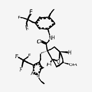 Cc1cc(NC(=O)[C@@]2(Cc3cn(C)nc3C(F)(F)F)C[C@H]3O[C@@H]2C[C@@H]3O)cc(C(F)(F)F)c1